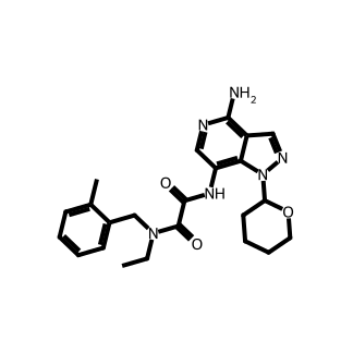 CCN(Cc1ccccc1C)C(=O)C(=O)Nc1cnc(N)c2cnn(C3CCCCO3)c12